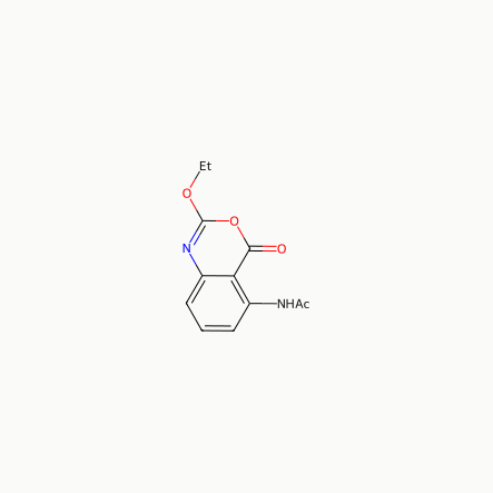 CCOc1nc2cccc(NC(C)=O)c2c(=O)o1